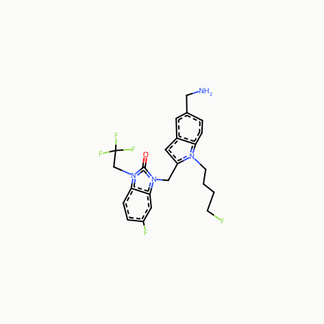 NCc1ccc2c(c1)cc(Cn1c(=O)n(CC(F)(F)F)c3ccc(F)cc31)n2CCCCF